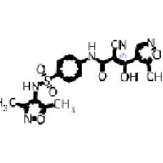 Cc1noc(C)c1NS(=O)(=O)c1ccc(NC(=O)/C(C#N)=C(\O)c2cnoc2C)cc1